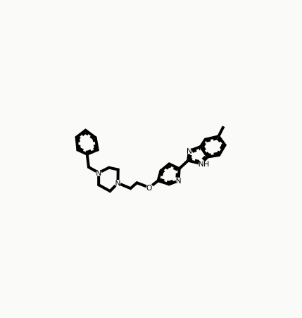 Cc1ccc2[nH]c(-c3ccc(OCCN4CCN(Cc5ccccc5)CC4)cn3)nc2c1